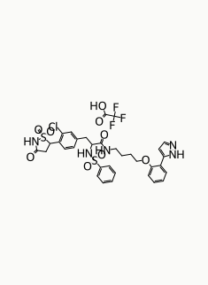 O=C(O)C(F)(F)F.O=C1CC(c2ccc(CC(NS(=O)(=O)c3ccccc3)C(=O)NCCCCOc3ccccc3-c3ccn[nH]3)cc2Cl)S(=O)(=O)N1